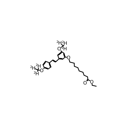 [2H]C([2H])([2H])Oc1ccc(/C=C/c2cc(OCCCCCCCCC(=O)OCC)cc(OC([2H])([2H])[2H])c2)cc1